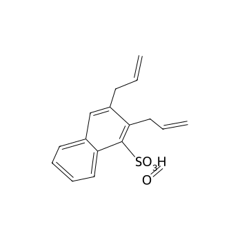 C=CCc1cc2ccccc2c(S(=O)(=O)O)c1CC=C.C=O